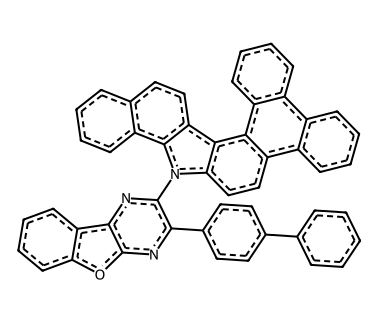 c1ccc(-c2ccc(-c3nc4oc5ccccc5c4nc3-n3c4ccc5c6ccccc6c6ccccc6c5c4c4ccc5ccccc5c43)cc2)cc1